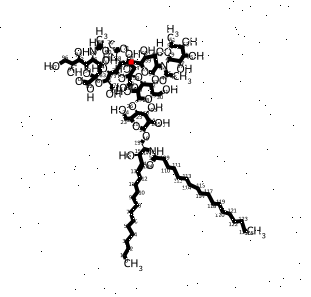 CCCCCCCCCCCCC/C=C/[C@@H](O)[C@H](CO[C@@H]1OC(CO)[C@@H](O[C@@H]2OC(CO)[C@H](O[C@@H]3OC(CO)[C@H](O)[C@H](O)C3N(C(C)=O)[C@H]3OC(C)[C@@H](O)C(O)[C@@H]3O)[C@H](O[C@]3(C(=O)O)CC(O)[C@@H](NC(C)=O)C([C@H](O)[C@@H](CO)O[C@]4(C(=O)O)CC(O)[C@@H](NC(C)=O)C([C@H](O)[C@H](O)CO)O4)O3)C2O)[C@H](O)C1O)NC(=O)CCCCCCCCCCCCCCCCC